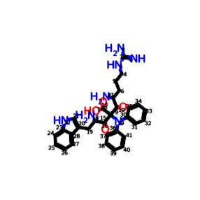 N=C(N)NCCCC(N)C(=O)C(C(=O)O)(C(=O)C(N)Cc1c[nH]c2ccccc12)N(c1ccccc1)c1ccccc1